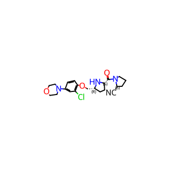 N#C[C@@H]1CCCN1C(=O)[C@@H]1CC[C@H](COc2ccc(N3CCOCC3)cc2Cl)N1